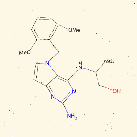 CCCCC(CO)Nc1nc(N)nc2ccn(Cc3c(OC)cccc3OC)c12